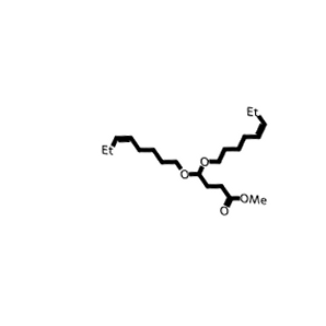 CC/C=C\CCCCOC(CCC(=O)OC)OCCCC/C=C\CC